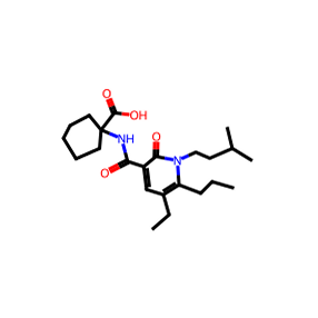 CCCc1c(CC)cc(C(=O)NC2(C(=O)O)CCCCC2)c(=O)n1CCC(C)C